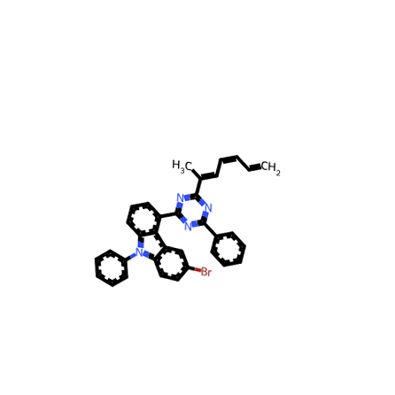 C=C/C=C\C=C(/C)c1nc(-c2ccccc2)nc(-c2cccc3c2c2cc(Br)ccc2n3-c2ccccc2)n1